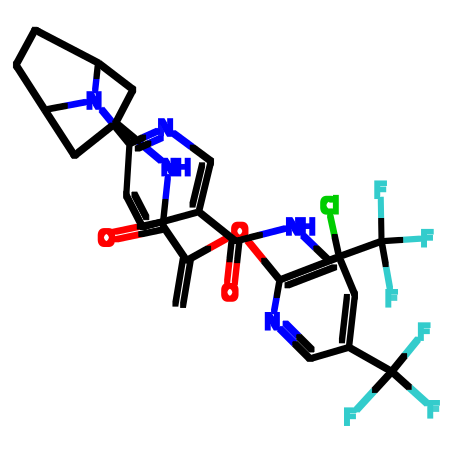 C=C(Oc1ncc(C(F)(F)F)cc1Cl)C(=O)NC1CC2CCC(C1)N2c1ccc(C(=O)NCC(F)(F)F)cn1